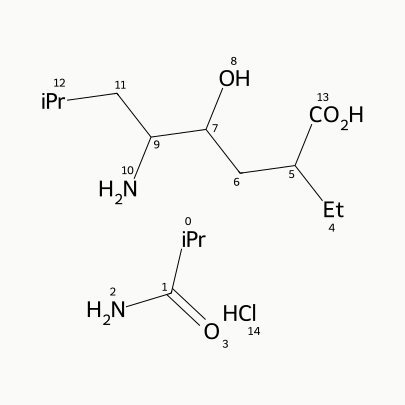 CC(C)C(N)=O.CCC(CC(O)C(N)CC(C)C)C(=O)O.Cl